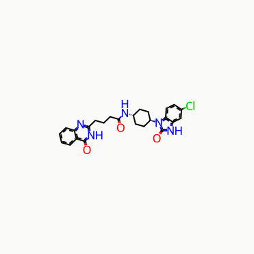 O=C(CCCc1nc2ccccc2c(=O)[nH]1)N[C@H]1CC[C@H](n2c(=O)[nH]c3cc(Cl)ccc32)CC1